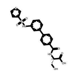 O=C(N[C@@H](CO)C(=O)O)c1ccc(-c2cccc(NS(=O)(=O)c3ccsc3)c2)cc1